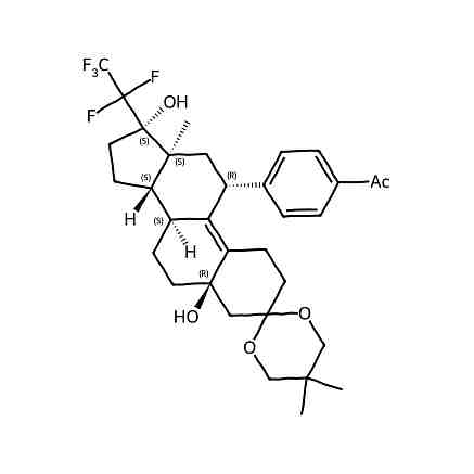 CC(=O)c1ccc([C@H]2C[C@@]3(C)[C@@H](CC[C@@]3(O)C(F)(F)C(F)(F)F)[C@@H]3CC[C@@]4(O)CC5(CCC4=C32)OCC(C)(C)CO5)cc1